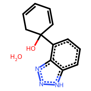 O.OC1(c2cccc3[nH]nnc23)C=CC=CC1